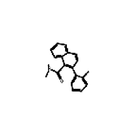 Cc1ccccc1-c1ccc2ccccc2c1C(=O)N(C)C